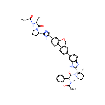 COC(=O)NC(C(=O)N1CCC[C@H]1c1ncc(-c2ccc3c(c2)OCc2cc(-c4ccc5nc([C@@H]6[C@H]7CC[C@H](C7)N6C(=O)[C@H](NC(=O)OC)c6ccccc6)[nH]c5c4)ccc2-3)[nH]1)C(C)C